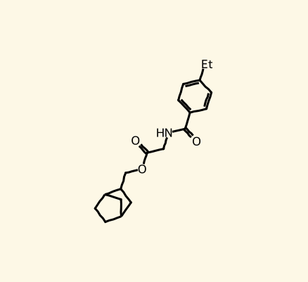 CCc1ccc(C(=O)NCC(=O)OCC2CC3CCC2C3)cc1